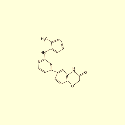 Cc1ccccc1Nc1nccc(-c2ccc3c(c2)NC(=O)CO3)n1